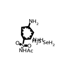 CC(=O)NS(=O)(=O)c1ccc(N)cc1.S.[NaH].[SeH2]